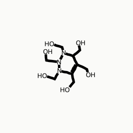 OCC1=C(CO)N(CO)N(CO)N(CO)C1CO